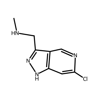 CNCc1n[nH]c2cc(Cl)ncc12